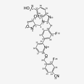 Cc1conc1Cn1c(Cc2ccc(-c3cccc(OCc4ccc(C#N)cc4F)n3)cc2F)nc2ccc(C(=O)O)cc21